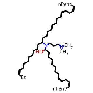 CC/C=C\CCCCCCCCC(CCCCCCCC/C=C\C/C=C\CCCCC)N(CCCN(C)C)C(O)CCCCCCC/C=C\C/C=C\CCCCC